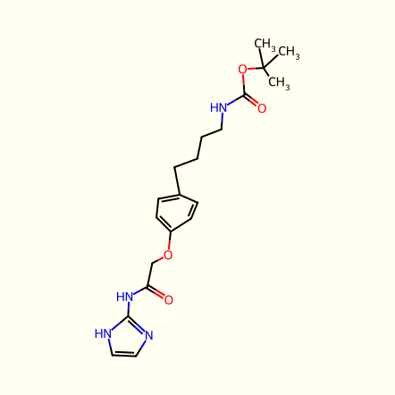 CC(C)(C)OC(=O)NCCCCc1ccc(OCC(=O)Nc2ncc[nH]2)cc1